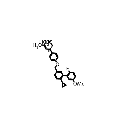 COc1ccc(F)c(-c2cc(COc3ccc([C@@H](C=C(C)C)CC(=O)O)cc3)ccc2C2CC2)c1